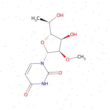 CO[C@@H]1[C@H](O)[C@@H]([C@@H](C)O)O[C@H]1n1ccc(=O)[nH]c1=O